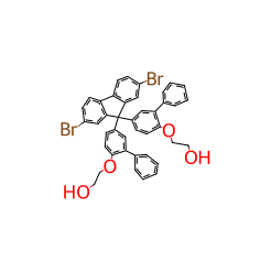 OCCOc1ccc(C2(c3ccc(OCCO)c(-c4ccccc4)c3)c3cc(Br)ccc3-c3ccc(Br)cc32)cc1-c1ccccc1